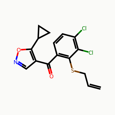 C=CCSc1c(C(=O)c2cnoc2C2CC2)ccc(Cl)c1Cl